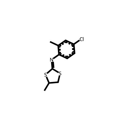 Cc1cc(Cl)ccc1N=C1SCC(C)S1